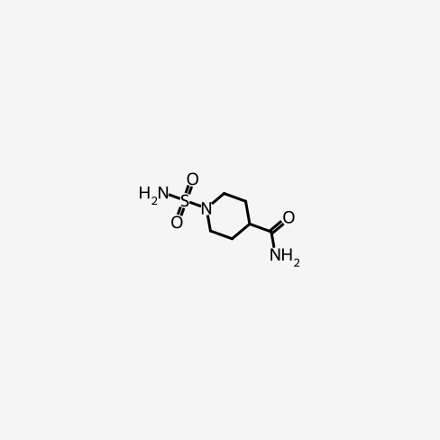 NC(=O)C1CCN(S(N)(=O)=O)CC1